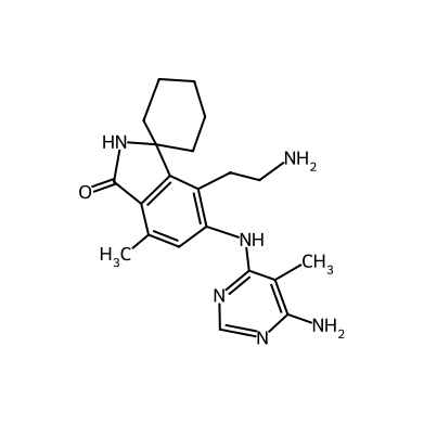 Cc1cc(Nc2ncnc(N)c2C)c(CCN)c2c1C(=O)NC21CCCCC1